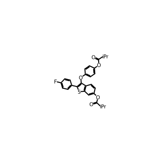 CC(C)C(=O)Oc1ccc(Oc2c(-c3ccc(F)cc3)sc3cc(OC(=O)C(C)C)ccc23)cc1